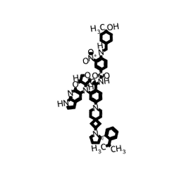 CC(C)c1ccccc1[C@@H]1CCCN1C1CC2(CCN(c3ccc(C(=O)NS(=O)(=O)c4ccc(NCC5CCC(C)(O)CC5)c([N+](=O)[O-])c4)c(N4c5cc6cc[nH]c6nc5O[C@@H]5COC[C@H]54)c3)CC2)C1